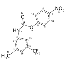 Cc1cc(NC(=O)Oc2ccc([N+](=O)[O-])cc2)cc(C(F)(F)F)c1